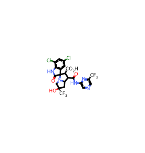 O=C(Nc1cncc(C(F)(F)F)n1)C1C2C[C@@](O)(C(F)(F)F)CN2C2(C(=O)Nc3c(Cl)cc(Cl)cc32)C1C(=O)O